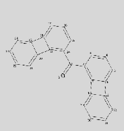 O=C(c1cccc2c1-c1ccccc1-2)c1cccc2c1-c1ccccc1-2